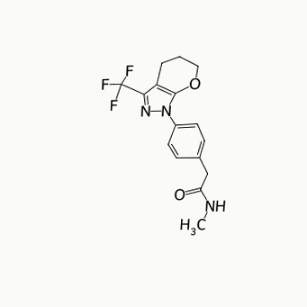 CNC(=O)Cc1ccc(-n2nc(C(F)(F)F)c3c2OCCC3)cc1